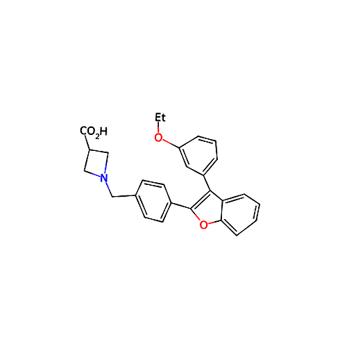 CCOc1cccc(-c2c(-c3ccc(CN4CC(C(=O)O)C4)cc3)oc3ccccc23)c1